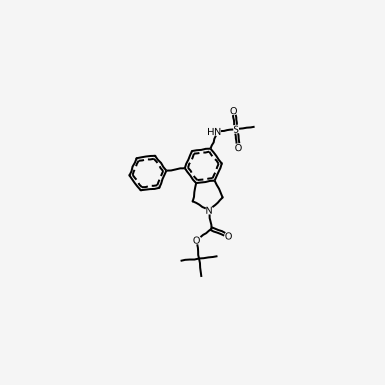 CC(C)(C)OC(=O)N1Cc2cc(NS(C)(=O)=O)cc(-c3ccccc3)c2C1